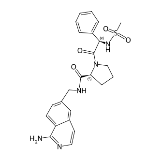 CS(=O)(=O)N[C@@H](C(=O)N1CCC[C@H]1C(=O)NCc1ccc2c(N)nccc2c1)c1ccccc1